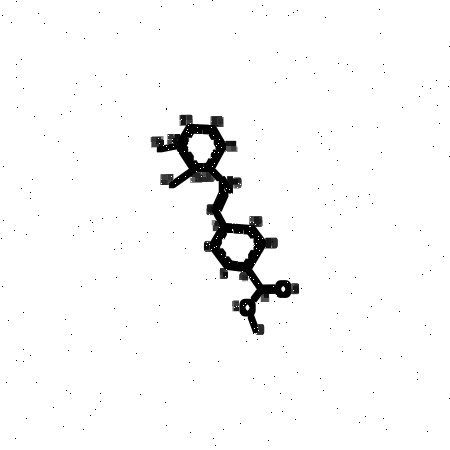 COC(=O)c1ccc(C=Nc2cccc(C)c2C)cc1